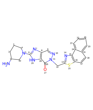 NC1CCCN(c2nc3cnn(Cc4nc5c(ccc6ccccc65)s4)c(=O)c3[nH]2)C1